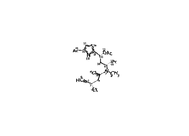 C#C[C@@H](CC)CC(=O)N(C)[C@H](C[C@@H](OC(C)=O)c1nc(C(C)=O)cs1)C(C)C